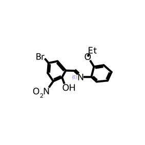 CCOc1ccccc1/N=C/c1cc(Br)cc([N+](=O)[O-])c1O